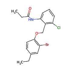 CCC(=O)Nc1cccc(Cl)c1COc1ccc(CC)cc1Br